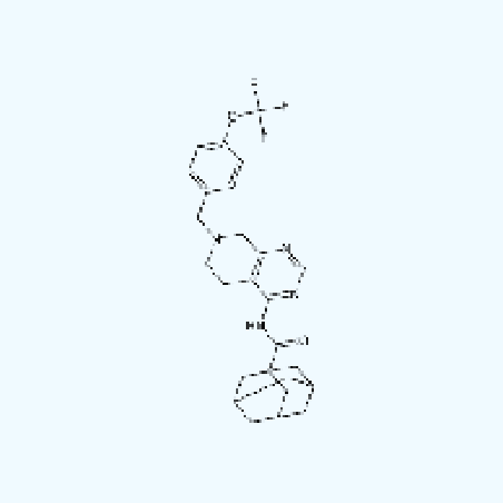 O=C(Nc1ncnc2c1CCN(Cc1ccc(OC(F)(F)F)cc1)C2)C12CC3CC(CC(C3)C1)C2